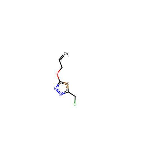 C=CCOc1nnc(CCl)s1